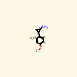 CCOc1ccc(C2CC2N)cc1.Cl